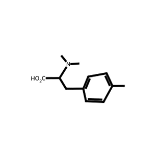 Cc1ccc(CC(C(=O)O)N(C)C)cc1